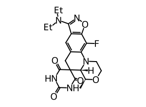 CCN(CC)c1noc2c(F)c3c(cc12)CC1(C(=O)NC(=O)NC1=O)[C@H]1[C@H](C)OCCN31